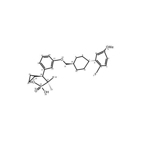 COc1ccc(F)c([C@H]2CC[C@H](COc3cccc([C@H](C4CC4)[C@@](C)(F)P(=O)(O)O)c3)CC2)c1